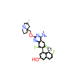 CCc1c(F)ccc2cc(O)cc(-c3c(F)cc4c(N(C)C)nc(OC[C@@]56CCCN5C[C@H](C)C6)nc4c3F)c12